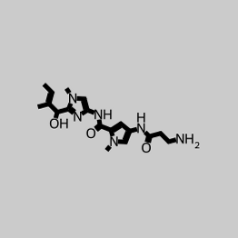 CC=C(C)C(O)c1nc(NC(=O)c2cc(NC(=O)CCN)cn2C)cn1C